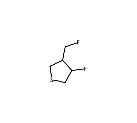 FCC1CSCC1F